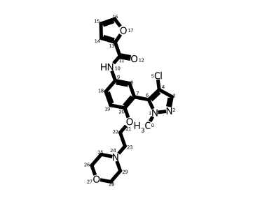 Cn1ncc(Cl)c1-c1cc(NC(=O)c2ccco2)ccc1OCCN1CCOCC1